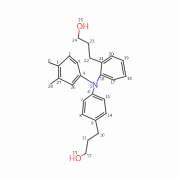 Cc1ccc(N(c2ccc(CCCO)cc2)c2ccccc2CCCO)cc1C